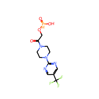 O=C(CO[PH](=O)O)N1CCN(c2ncc(C(F)(F)F)cn2)CC1